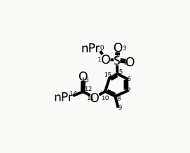 CCCOS(=O)(=O)c1ccc(C)c(OC(=O)CCC)c1